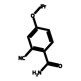 CC(C)Oc1ccc(C(N)=O)c(C#N)c1